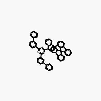 c1ccc(-c2cccc(-c3nc(-c4cccc(-c5ccccc5)c4)nc(-c4ccc(-c5cccc6c5C5(c7ccccc7-c7ccccc75)c5ccccc5-6)c5ccccc45)n3)c2)cc1